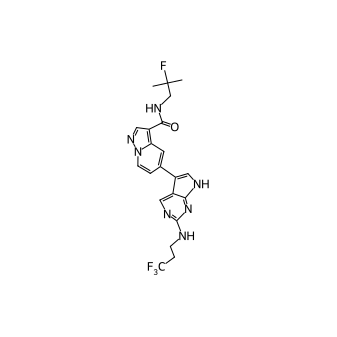 CC(C)(F)CNC(=O)c1cnn2ccc(-c3c[nH]c4nc(NCCC(F)(F)F)ncc34)cc12